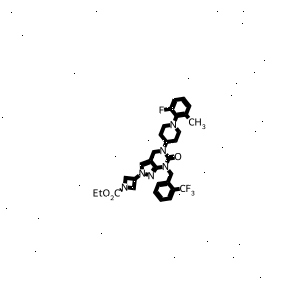 CCOC(=O)N1CC(n2cc3c(n2)N(Cc2ccccc2C(F)(F)F)C(=O)N(C2CCN(c4c(C)cccc4F)CC2)C3)C1